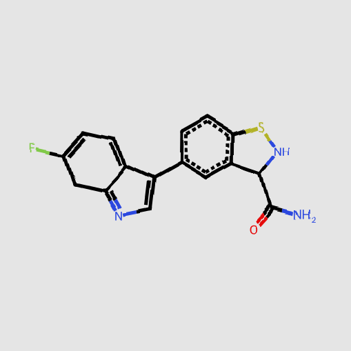 NC(=O)C1NSc2ccc(C3=CN=C4CC(F)=CC=C34)cc21